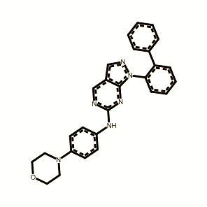 c1ccc(-c2ccccc2-n2ncc3cnc(Nc4ccc(N5CCOCC5)cc4)nc32)cc1